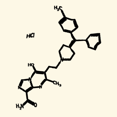 Cc1ccc(C(=C2CCN(CCc3c(C)nc4c(C(N)=O)ncn4c3O)CC2)c2ccccc2)cc1.Cl